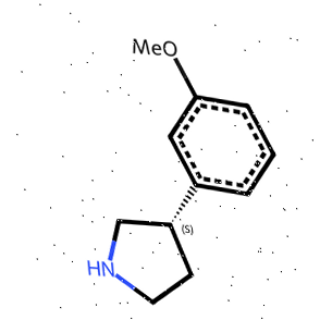 COc1cccc([C@@H]2CCNC2)c1